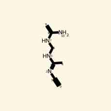 C#C/N=C(\C)NCNC(=C)N